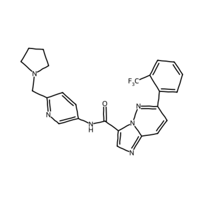 O=C(Nc1ccc(CN2CCCC2)nc1)c1cnc2ccc(-c3ccccc3C(F)(F)F)nn12